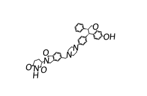 O=C1CCC(N2Cc3cc(CN4CCN(c5ccc([C@@H]6c7ccc(O)cc7OC[C@@H]6c6ccccc6)cc5)CC4)ccc3C2=O)C(=O)N1